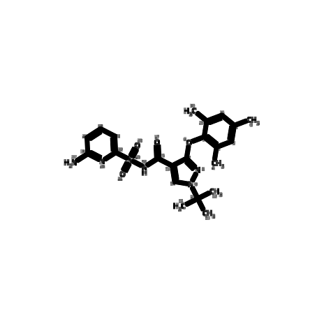 Cc1cc(C)c(Oc2nn(C(C)(C)C)cc2C(=O)NS(=O)(=O)c2cccc(N)n2)c(C)c1